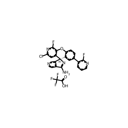 NC1=N[C@@]2(c3cc(-c4cccnc4F)ccc3Oc3c2cc(Cl)nc3F)c2cnccc21.O=C(O)C(F)(F)F